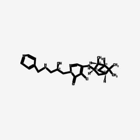 C[C@H]1[C@H]2C[C@H](C[C@H]1Nc1cnn(C[C@H](O)CNCc3ccncc3)c(=O)c1Cl)C2(C)C